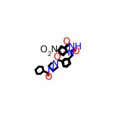 O=C(c1cccc(Cn2c(=O)[nH]c(=O)c3cc([N+](=O)[O-])ccc32)c1)N1CCN(C(=O)C2CCCCC2)CC1